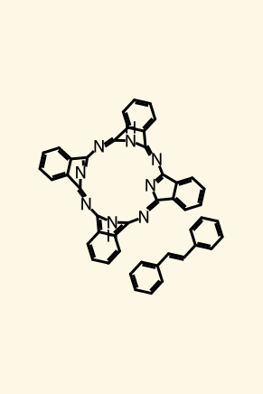 C(=C\c1ccccc1)/c1ccccc1.c1ccc2c(c1)-c1nc-2nc2[nH]c(nc3nc(nc4[nH]c(n1)c1ccccc41)-c1ccccc1-3)c1ccccc21